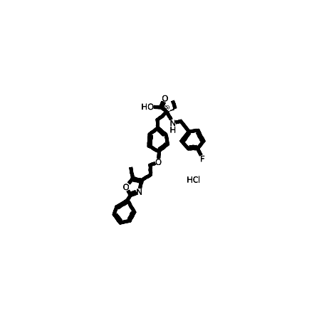 CC[C@@](Cc1ccc(OCCc2nc(-c3ccccc3)oc2C)cc1)(NCc1ccc(F)cc1)C(=O)O.Cl